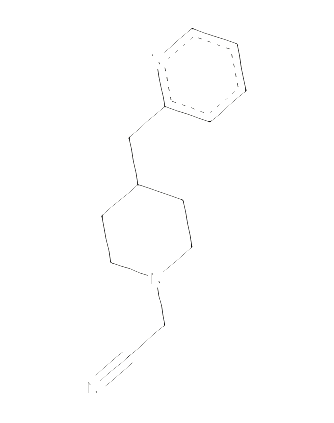 N#CCN1CCC(Cc2ccccn2)CC1